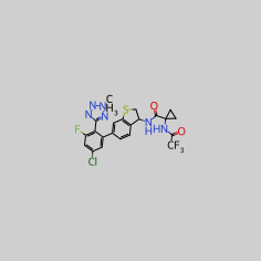 Cn1nnc(-c2c(F)cc(Cl)cc2-c2ccc3c(c2)SCC3NC(=O)C2(NC(=O)C(F)(F)F)CC2)n1